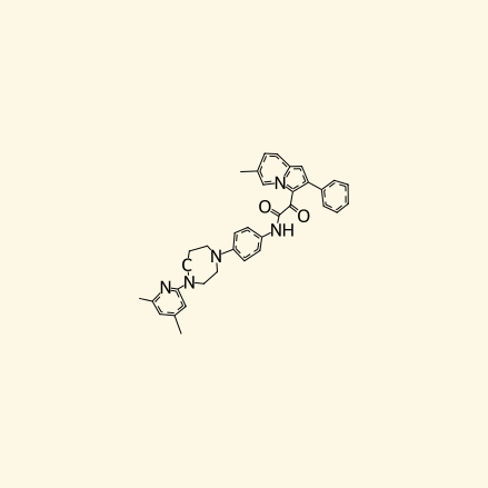 Cc1cc(C)nc(N2CCCN(c3ccc(NC(=O)C(=O)c4c(-c5ccccc5)cc5ccc(C)cn45)cc3)CC2)c1